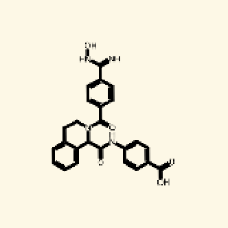 N=C(NO)c1ccc(C(=O)N2CCc3ccccc3C2C(=O)Nc2ccc(C(=O)O)cc2)cc1